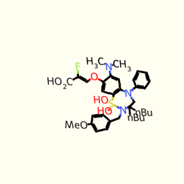 CCCCC1(CCCC)CN(c2ccccc2)c2cc(N(C)C)c(O/C=C(\F)C(=O)O)cc2S(O)(O)N1Cc1ccc(OC)cc1